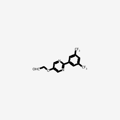 O=CCOc1cnc(-c2cc(C(F)(F)F)cc(C(F)(F)F)c2)nc1